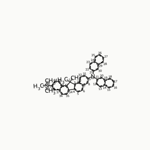 CC1(C)c2c(ccc3cc(N(c4ccc5ccccc5c4)c4ccc5ccccc5c4)ccc23)-c2ccc3cc([Si](C)(C)C)ccc3c21